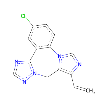 C=Cc1ncn2c1Cn1ncnc1-c1cc(Cl)ccc1-2